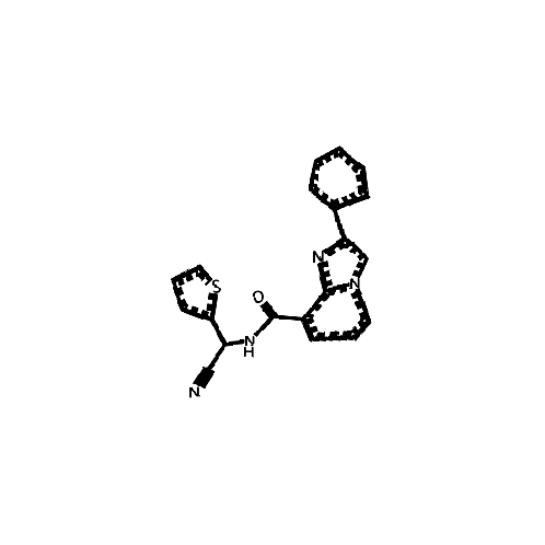 N#CC(NC(=O)c1cccn2cc(-c3ccccc3)nc12)c1cccs1